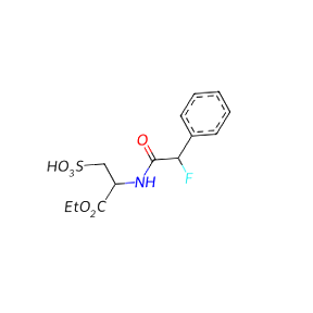 CCOC(=O)C(CS(=O)(=O)O)NC(=O)C(F)c1ccccc1